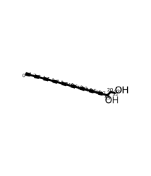 C#CC#CC#CC#CC#CC#CC#CC#CC#CC(O)CCO